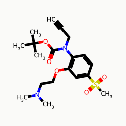 C#CCN(C(=O)OC(C)(C)C)c1ccc(S(C)(=O)=O)cc1OCCN(C)C